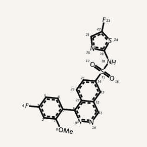 COc1cc(F)ccc1-c1nncc2cc(S(=O)(=O)Nc3ncc(F)s3)ccc12